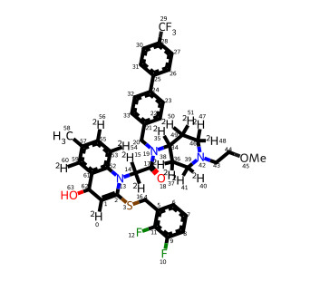 [2H]C1=C(SCc2cccc(F)c2F)N(C([2H])([2H])C(=O)N(Cc2ccc(-c3ccc(C(F)(F)F)cc3)cc2)C2([2H])C([2H])([2H])C([2H])([2H])N(CCOC)C([2H])([2H])C2([2H])[2H])c2c([2H])c([2H])c(C)c([2H])c2C1O